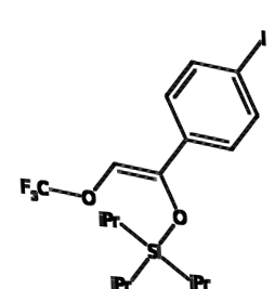 CC(C)[Si](OC(=COC(F)(F)F)c1ccc(I)cc1)(C(C)C)C(C)C